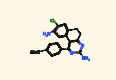 COc1ccc(-c2nc(N)nc3c2-c2cc(N)c(Cl)cc2CC3)cc1